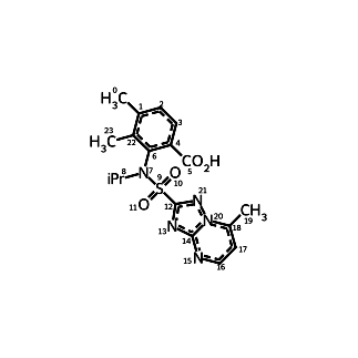 Cc1ccc(C(=O)O)c(N(C(C)C)S(=O)(=O)c2nc3nccc(C)n3n2)c1C